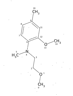 COCCN(C)c1ccc(C)cc1OC